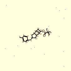 Cc1ccc(CC2CC3C4CC(OC(=O)C(C)(F)F)C(C4)C3C2)cc1